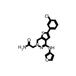 NC(=O)CN1Cc2sc(-c3cccc(Cl)c3)cc2C(Nc2ccoc2)=N1